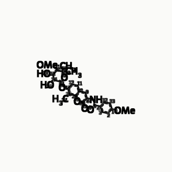 COc1ccc(C(=O)Nc2cc3ccc(O[C@@H]4OC(C)(C)[C@H](OC)[C@@H](O)[C@H]4O)c(C)c3oc2=O)cc1